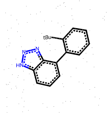 CC(C)(C)c1ccccc1-c1cccc2[nH]nnc12